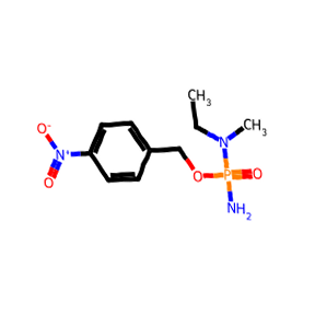 CCN(C)P(N)(=O)OCc1ccc([N+](=O)[O-])cc1